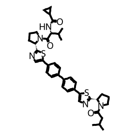 CC(C)CC(=O)N1CCC[C@H]1c1ncc(-c2ccc(-c3ccc(-c4cnc([C@@H]5CCCN5C(=O)[C@H](NC(=O)C5CC5)C(C)C)s4)cc3)cc2)s1